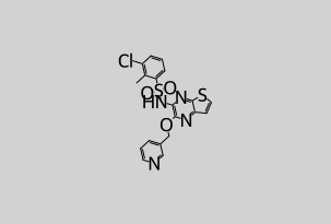 Cc1c(Cl)cccc1S(=O)(=O)Nc1nc2sccc2nc1OCc1cccnc1